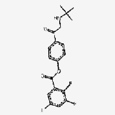 CC(C)(C)NCC(=O)c1ccc(OC(=O)c2cc(F)cc(F)c2F)cc1